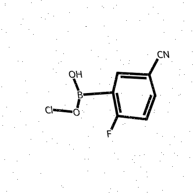 N#Cc1ccc(F)c(B(O)OCl)c1